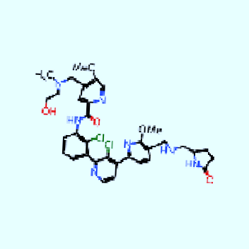 COc1cnc(C(=O)Nc2cccc(-c3nccc(-c4ccc(CNCC5CCC(=O)N5)c(OC)n4)c3Cl)c2Cl)cc1CN(C)CCO